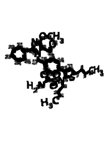 CCCCN(c1sc(CCC)cc1-c1ccc(Cn2c(-c3ccccc3)nc(OC)c2C=O)cc1)S(=O)(=O)C(N)=O